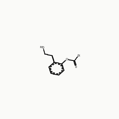 CCC(=O)Oc1ccccc1CCO